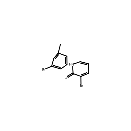 Cc1cccc(Br)c1.O=c1[nH]cccc1Br